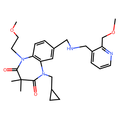 COCCN1C(=O)C(C)(C)C(=O)N(CC2CC2)c2cc(CNCc3cccnc3COC)ccc21